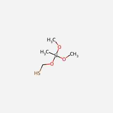 CO[Si](C)(OC)OCS